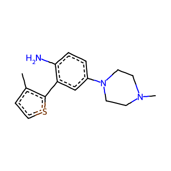 Cc1ccsc1-c1cc(N2CCN(C)CC2)ccc1N